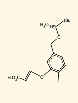 CCOC(=O)C=COc1cc(CO[SiH](C)C(C)(C)C)ccc1I